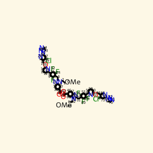 COCCn1c(Cc2c(F)cc(-c3cccc(OCc4cnc(-n5ccnn5)cc4Cl)n3)c(F)c2F)nc2ccc(C(=O)OC(=O)c3ccc4nc(Cc5c(F)cc(-c6cccc(OCc7cnc(-n8ccnn8)cc7Cl)n6)c(F)c5F)n(CCOC)c4c3)cc21